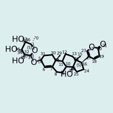 C[C@@H]1O[C@@H](O[C@@H]2C=C3CCC4C(CC[C@]5(C)[C@@H](c6ccc(=O)oc6)CC[C@]45O)[C@@]3(C)CC2)[C@H](O)[C@H](O)[C@H]1O